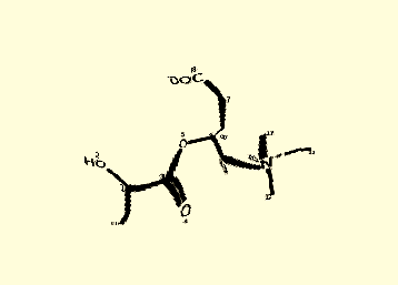 CC(O)C(=O)O[C@@H](CC(=O)[O-])C[N+](C)(C)C